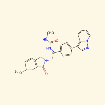 CCOc1ccc2c(c1)C(=O)N(C[C@H](NC(=O)NC=O)c1ccc(-c3cnn4ccccc34)cc1)C2